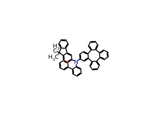 CC1(C)c2ccccc2-c2cc(N(c3ccc4c(c3)-c3ccccc3-c3ccccc3-c3ccccc3-4)c3ccccc3-c3ccccc3)ccc21